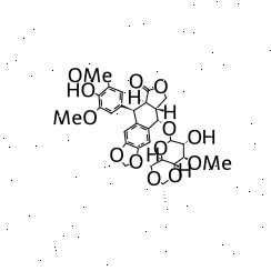 COc1cc([C@@H]2c3cc4c(cc3[C@@H](OC3O[C@@H]5CO[C@@H](C)O[C@H]5[C@H](OC)[C@H]3O)[C@H]3COC(=O)[C@H]23)OCO4)cc(OC)c1O